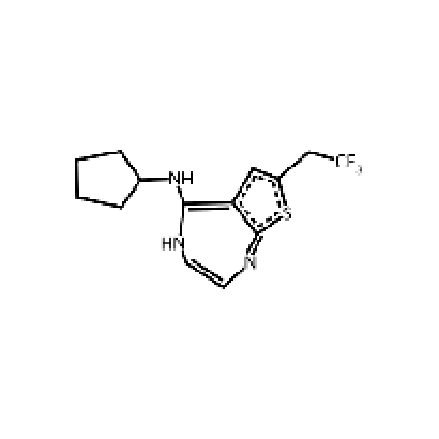 FC(F)(F)Cc1cc2c(s1)=NC=CNC=2NC1CCCC1